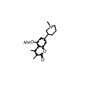 COc1cc(C2CCCN(C)C2)cc2oc(=O)c(C)c(C)c12